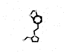 ClC[C@@H]1CCCN1CCc1ccc2c(c1)OCO2